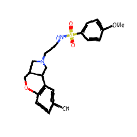 COc1ccc(S(=O)(=O)NCCN2CC3COc4ccc(C#N)cc4C3C2)cc1